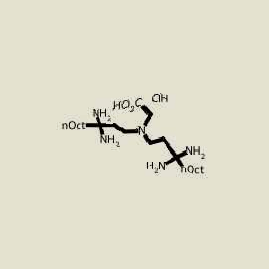 CCCCCCCCC(N)(N)CCN(CCC(N)(N)CCCCCCCC)CC(=O)O.Cl